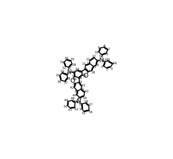 c1ccc(N(c2ccccc2)c2ccc3cc4c(cc3c2)oc2c4cc(N(c3ccccc3)c3ccccc3)c3oc4cc5cc(N(c6ccccc6)c6ccccc6)ccc5cc4c32)cc1